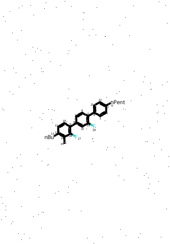 CCCCCc1ccc(-c2ccc(-c3ccc(CCCC)c(C)c3F)cc2F)cc1